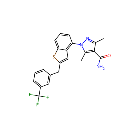 Cc1nn(-c2cccc3sc(Cc4cccc(C(F)(F)F)c4)cc23)c(C)c1C(N)=O